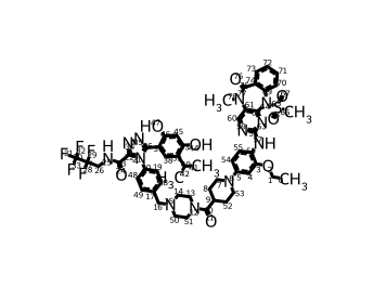 CCOc1cc(N2CCC(C(=O)N3CCN(Cc4ccc(-n5c(C(=O)NCC(F)(F)C(F)(F)F)nnc5-c5cc(C(C)C)c(O)cc5O)cc4)CC3)CC2)ccc1Nc1ncc2c(n1)N(S(C)(=O)=O)c1ccccc1C(=O)N2C